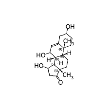 C[C@]12CCC(O)CC1=CC(O)[C@@H]1[C@H]2CC[C@]2(C)C(=O)CC(O)[C@@H]12